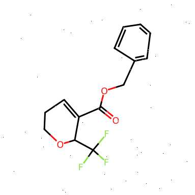 O=C(OCc1ccccc1)C1=CCCOC1C(F)(F)F